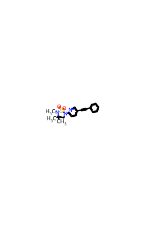 CN1C(C)(C)CN(c2ccc(C#Cc3ccccc3)cn2)S1(=O)=O